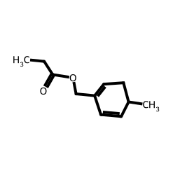 CCC(=O)OCC1=CCC(C)C=C1